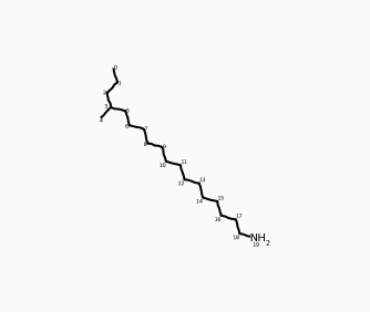 CCCC(C)CCCCCCCCCCCCCCN